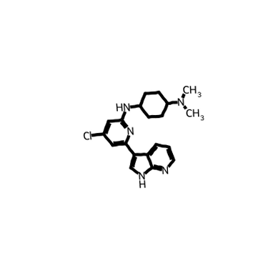 CN(C)C1CCC(Nc2cc(Cl)cc(-c3c[nH]c4ncccc34)n2)CC1